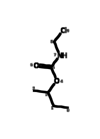 CCC(C)OC(=O)NCCl